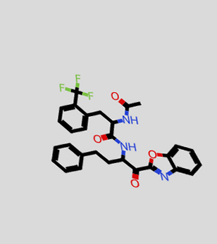 CC(=O)NC(Cc1ccccc1C(F)(F)F)C(=O)NC(CCc1ccccc1)C(=O)c1nc2ccccc2o1